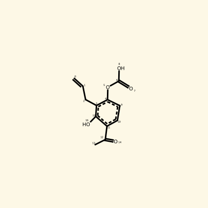 C=CCc1c(OC(=O)O)ccc(C(C)=O)c1O